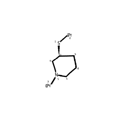 CC(C)S[C@H]1CCCN(C(C)C)C1